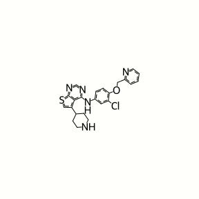 Clc1cc(Nc2ncnc3scc(C4CCNCC4)c23)ccc1OCc1ccccn1